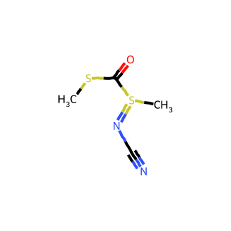 CSC(=O)S(C)=NC#N